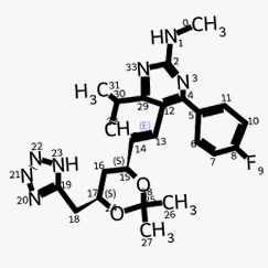 CNc1nc(-c2ccc(F)cc2)c(/C=C/[C@@H]2C[C@H](Cc3nnn[nH]3)OC(C)(C)O2)c(C(C)C)n1